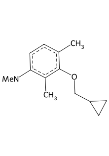 CNc1ccc(C)c(OCC2CC2)c1C